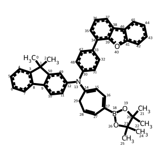 CC1(C)c2ccccc2-c2ccc(N(C3=CC=C(B4OC(C)(C)C(C)(C)O4)C=CC3)c3ccc(-c4cccc5c4oc4ccccc45)cc3)cc21